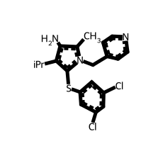 Cc1c(N)c(C(C)C)c(Sc2cc(Cl)cc(Cl)c2)n1Cc1ccncc1